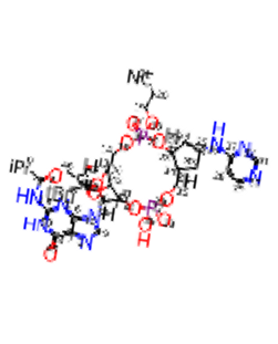 CC(C)C(=O)Nc1nc2c(ncn2[C@@H]2O[C@H]3COP(=O)(OCCC#N)O[C@H]4C[C@H](Nc5ccncn5)C[C@H]4COP(=O)(O)O[C@@H]2C3O[Si](C)(C)C(C)(C)C)c(=O)[nH]1